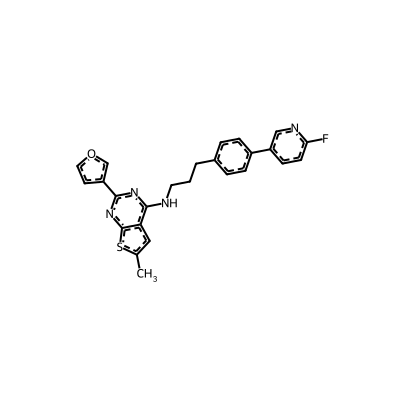 Cc1cc2c(NCCCc3ccc(-c4ccc(F)nc4)cc3)nc(-c3ccoc3)nc2s1